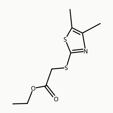 CCOC(=O)CSc1nc(C)c(C)s1